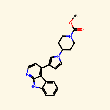 CC(C)(C)OC(=O)N1CCC(n2ccc(-c3ccnc4[nH]c5ccccc5c34)c2)CC1